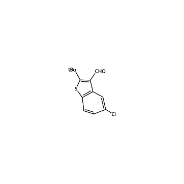 CC(C)(C)c1sc2ccc(Cl)cc2c1C=O